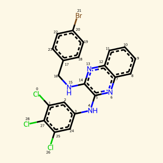 Clc1cc(Nc2nc3ccccc3nc2NCc2ccc(Br)cc2)cc(Cl)c1Cl